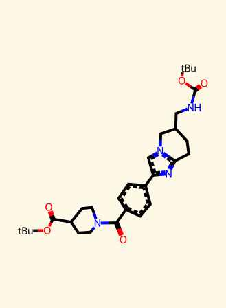 CC(C)(C)OC(=O)NCC1CCc2nc(-c3ccc(C(=O)N4CCC(C(=O)OC(C)(C)C)CC4)cc3)cn2C1